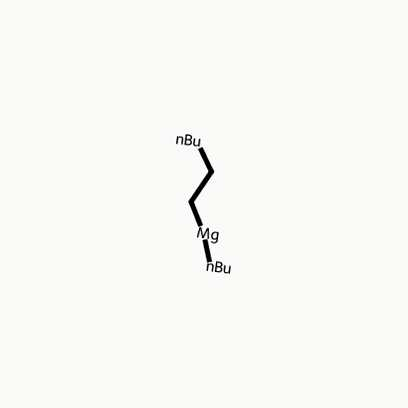 CCCCC[CH2][Mg][CH2]CCC